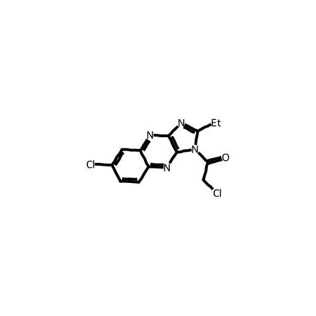 CCc1nc2nc3cc(Cl)ccc3nc2n1C(=O)CCl